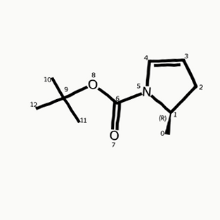 C[C@@H]1CC=CN1C(=O)OC(C)(C)C